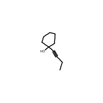 CCC#CC1(O)CCCCC1